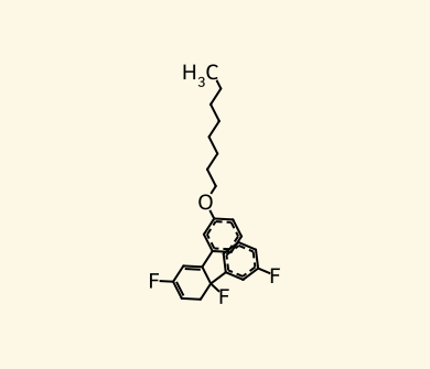 CCCCCCCCOc1cccc(C2=CC(F)=CCC2(F)c2cccc(F)c2)c1